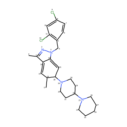 Cc1nn(Cc2ccc(Cl)cc2Cl)c2c1=CC(C)C(N1CCC(N3CCCCC3)CC1)C=2